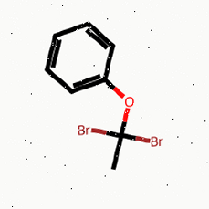 CC(Br)(Br)Oc1ccccc1